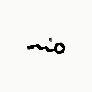 N#CC=CC=Cc1ccccc1.[P]